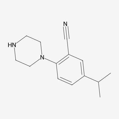 CC(C)c1ccc(N2CCNCC2)c(C#N)c1